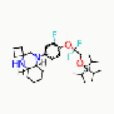 CC(C)[Si](OCC(F)(F)Oc1ccc(N2CC3(CCC3)N[C@H]3CCCC[C@@H]32)cc1F)(C(C)C)C(C)C